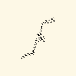 C=C(CCCCCCC/C=C\CCCCCCCC)OC(COC(=O)CCCCCCC/C=C\CCCCCCCC)C[N+](C)(C)C